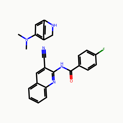 CN(C)c1cc2ccc1CN2.N#Cc1cc2ccccc2nc1NC(=O)c1ccc(F)cc1